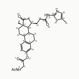 CC(=O)NCC(=O)Oc1ccc2c(c1)CCC1C2CC[C@]2(C)C(=O)C[C@@H](CCC(=O)Nc3ncc(C)s3)C12